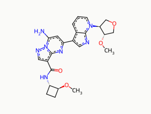 CO[C@H]1CC[C@@H]1NC(=O)c1cnn2c(N)cc(-c3cnc4n([C@H]5COC[C@@H]5OC)cccc3-4)nc12